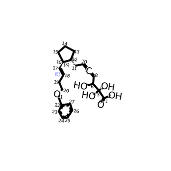 O=C(O)C(O)(O)C(O)C=C=CC[C@H]1CCC[C@@H]1/C=C/CCOc1ccccc1